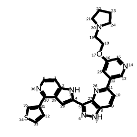 c1cc2[nH]c(-c3n[nH]c4ccc(-c5cncc(OCCN6CCCC6)c5)nc34)cc2c(-c2ccsc2)n1